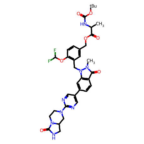 CC(NC(=O)OC(C)(C)C)C(=O)OCc1ccc(OC(F)F)c(Cn2c3cc(-c4cnc(N5CCN6C(=O)NCC6C5)nc4)ccc3c(=O)n2C)c1